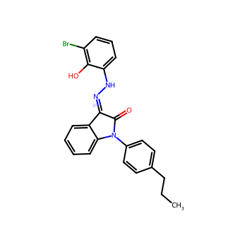 CCCc1ccc(N2C(=O)/C(=N\Nc3cccc(Br)c3O)c3ccccc32)cc1